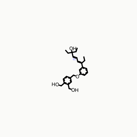 CCC(=C/C=C/C(O)(CC)CC)c1cccc(OCc2ccc(CO)c(CO)c2)c1